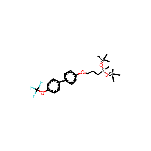 C[Si](C)(C)O[Si](C)(CCCOc1ccc(-c2ccc(OC(F)(F)F)cc2)cc1)O[Si](C)(C)C